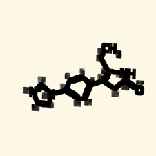 CCC1=C(c2ccc(-n3ccnc3)cc2)CC(=O)N1